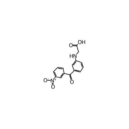 O=C(O)CNc1cccc(C(=O)c2cccc([N+](=O)[O-])c2)c1